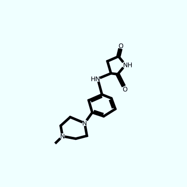 CN1CCN(c2cccc(NC3CC(=O)NC3=O)c2)CC1